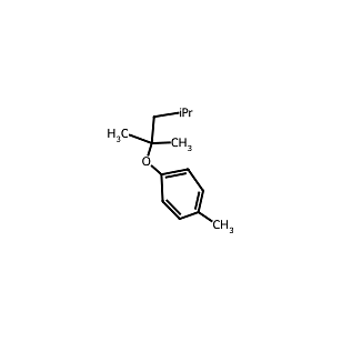 Cc1ccc(OC(C)(C)CC(C)C)cc1